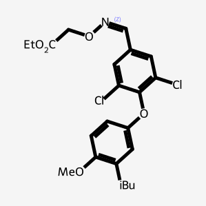 CCOC(=O)CO/N=C\c1cc(Cl)c(Oc2ccc(OC)c(C(C)CC)c2)c(Cl)c1